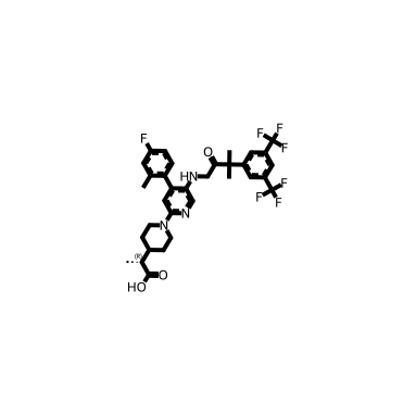 Cc1cc(F)ccc1-c1cc(N2CCC([C@@H](C)C(=O)O)CC2)ncc1NCC(=O)C(C)(C)c1cc(C(F)(F)F)cc(C(F)(F)F)c1